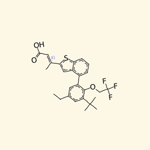 CCc1cc(-c2cccc3sc(/C(C)=C/C(=O)O)cc23)c(OCC(F)(F)F)c(C(C)(C)C)c1